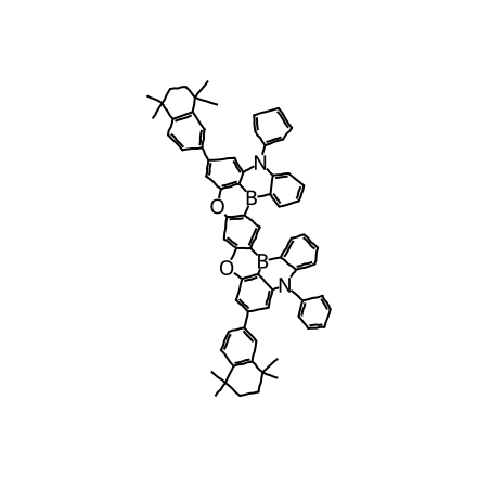 CC1(C)CCC(C)(C)c2cc(-c3cc4c5c(c3)N(c3ccccc3)c3ccccc3B5c3cc5c(cc3O4)Oc3cc(-c4ccc6c(c4)C(C)(C)CCC6(C)C)cc4c3B5c3ccccc3N4c3ccccc3)ccc21